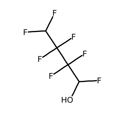 OC(F)C(F)(F)C(F)(F)C(F)F